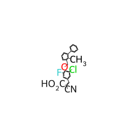 Cc1c(COc2c(F)cc(C=C(C#N)C(=O)O)cc2Cl)cccc1-c1ccccc1